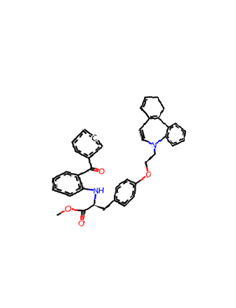 COC(=O)[C@H](Cc1ccc(OCCN2C=CC3=C(CCC=C3)c3ccccc32)cc1)Nc1ccccc1C(=O)c1ccccc1